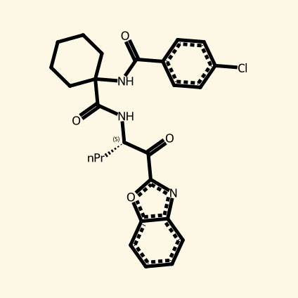 CCC[C@H](NC(=O)C1(NC(=O)c2ccc(Cl)cc2)CCCCC1)C(=O)c1nc2ccccc2o1